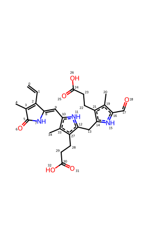 C=CC1=C(C)C(=O)N/C1=C\c1[nH]c(Cc2[nH]c(C=O)c(C)c2CCC(=O)O)c(CCC(=O)O)c1C